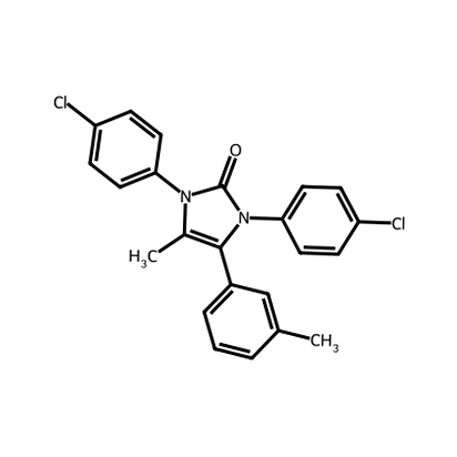 Cc1cccc(-c2c(C)n(-c3ccc(Cl)cc3)c(=O)n2-c2ccc(Cl)cc2)c1